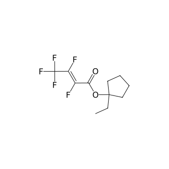 CCC1(OC(=O)/C(F)=C(\F)C(F)(F)F)CCCC1